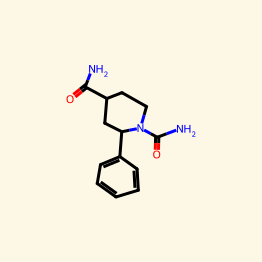 NC(=O)C1CCN(C(N)=O)C(c2ccccc2)C1